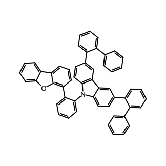 c1ccc(-c2ccccc2-c2ccc3c(c2)c2cc(-c4ccccc4-c4ccccc4)ccc2n3-c2ccccc2-c2cccc3c2oc2ccccc23)cc1